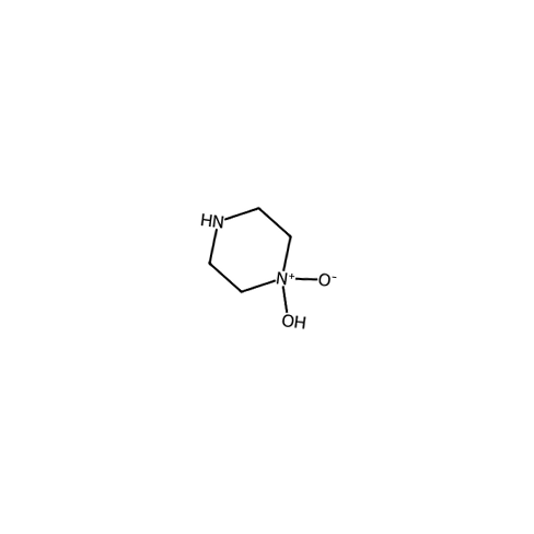 [O-][N+]1(O)CCNCC1